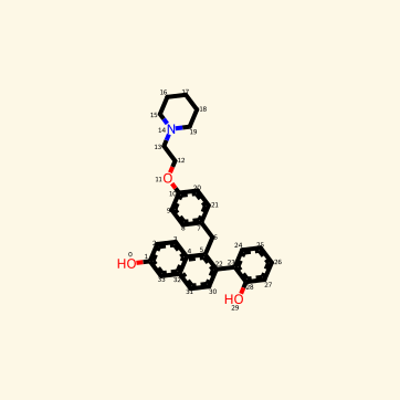 Oc1ccc2c(Cc3ccc(OCCN4CCCCC4)cc3)c(-c3ccccc3O)ccc2c1